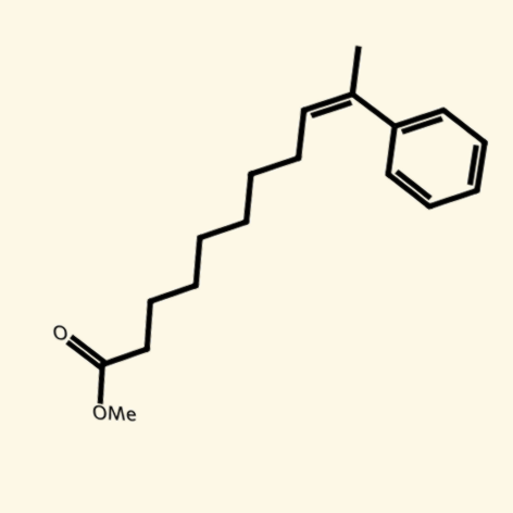 COC(=O)CCCCCCC/C=C(/C)c1ccccc1